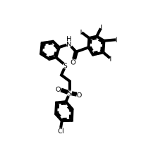 O=C(Nc1ccccc1SCCS(=O)(=O)c1ccc(Cl)cc1)c1cc(I)c(I)c(I)c1I